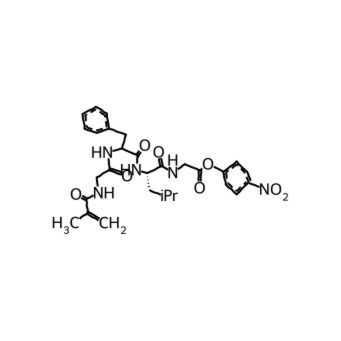 C=C(C)C(=O)NCC(=O)NC(Cc1ccccc1)C(=O)N[C@@H](CC(C)C)C(=O)NCC(=O)Oc1ccc([N+](=O)[O-])cc1